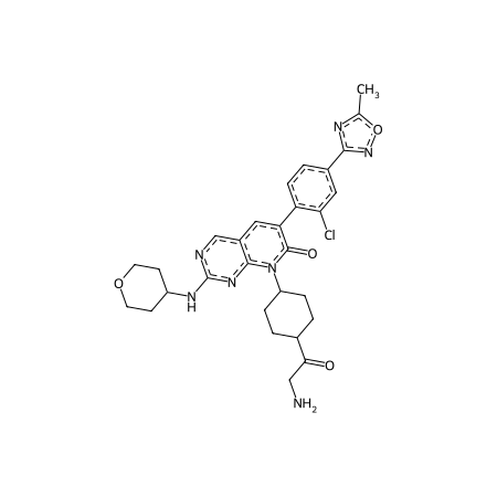 Cc1nc(-c2ccc(-c3cc4cnc(NC5CCOCC5)nc4n(C4CCC(C(=O)CN)CC4)c3=O)c(Cl)c2)no1